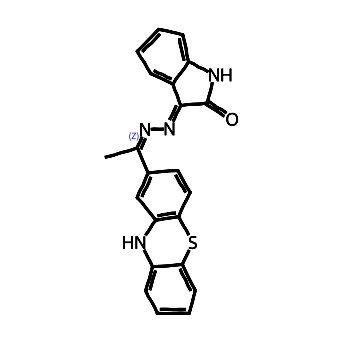 C/C(=N/N=C1C(=O)Nc2ccccc21)c1ccc2c(c1)Nc1ccccc1S2